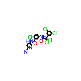 N#Cc1ccc(NC(=O)c2cc(NC(=O)C3C(c4cc(Cl)cc(Cl)c4)C3(Cl)Cl)ccc2Cl)cn1